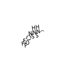 CCCNC(=S)Nc1nc2ccc(OC(F)(F)F)cc2s1